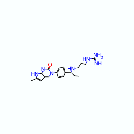 CC[C@H](NCCCNC(=N)N)c1ccc(-n2cc3cc(C)[nH]c3nc2=O)cc1